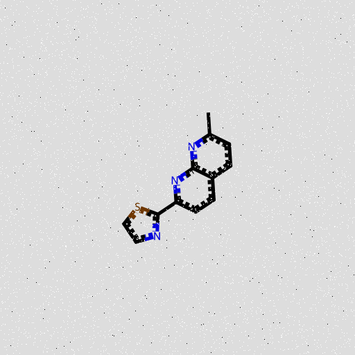 Cc1ccc2ccc(-c3nccs3)nc2n1